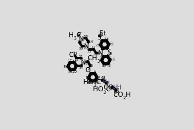 CC(COc1ccccc1)N(CCCl)Cc1ccccc1.CCSc1ccc2c(c1)N(CCCN1CCN(C)CC1)c1ccccc1S2.O=C(O)/C=C\C(=O)O.O=C(O)/C=C\C(=O)O